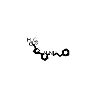 COC(=O)c1ccc(-c2cccc(NCCCc3ccccc3)n2)s1